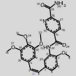 COc1ccc(/C=C\c2cc(OC)c(OC)c(OC)c2)cc1NC(=O)c1ccc(C(N)=O)nc1